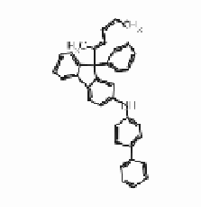 C/C=C\C=C(/C)C1(c2ccccc2)c2ccccc2-c2ccc(Nc3ccc(-c4ccccc4)cc3)cc21